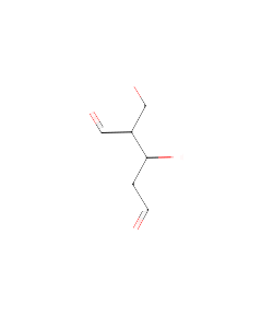 O=CCC(O)C(C=O)CO